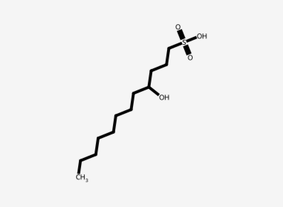 CCCCCCCCC(O)CCCS(=O)(=O)O